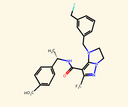 C[C@H](NC(=O)c1c(C(F)(F)F)nn2c1N(Cc1cccc(CF)c1)CC2)c1ccc(C(=O)O)cc1